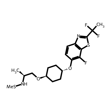 CSN[C@@H](C)CO[C@H]1CC[C@H](Oc2ccc3nc(C(C)(F)F)sc3c2F)CC1